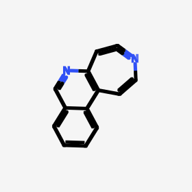 C1=Cc2ncc3ccccc3c2C=CN=1